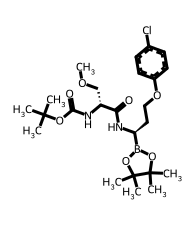 COC[C@@H](NC(=O)OC(C)(C)C)C(=O)N[C@@H](CCOc1ccc(Cl)cc1)B1OC(C)(C)C(C)(C)O1